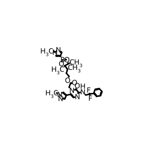 Cn1cc(B2OC(C)(C)C(C)(CCCOC(=O)Cn3c(-c4cnn(C)c4)cnc(NCC(F)(F)c4ccccc4)c3=O)O2)cn1